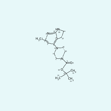 Cc1cc(N2CCN(C(=O)OC(C)(C)C)CC2)c2c(n1)NCC2